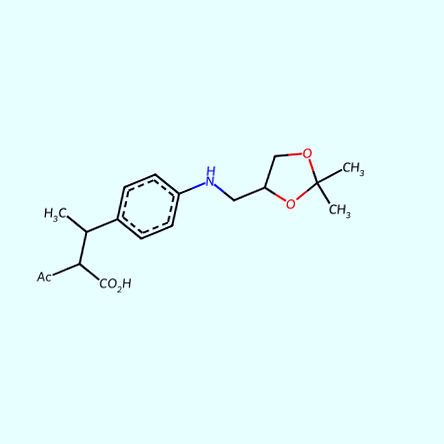 CC(=O)C(C(=O)O)C(C)c1ccc(NCC2COC(C)(C)O2)cc1